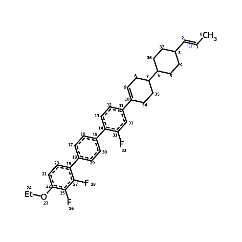 C/C=C/C1CCC(C2CC=C(c3ccc(-c4ccc(-c5ccc(OCC)c(F)c5F)cc4)c(F)c3)CC2)CC1